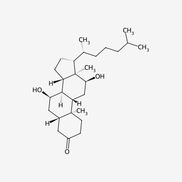 CC(C)CCC[C@@H](C)[C@H]1CC[C@H]2[C@@H]3[C@H](O)C[C@H]4CC(=O)CC[C@]4(C)[C@H]3C[C@H](O)[C@]12C